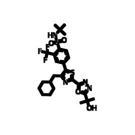 CC(C)(C)NS(=O)(=O)c1ccc(-c2sc(-c3nnc(C(C)(C)O)o3)nc2CC2CCCCC2)cc1C(F)(F)F